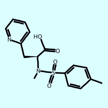 Cc1ccc(S(=O)(=O)N(C)[C@@H](Cc2ccccn2)C(=O)O)cc1